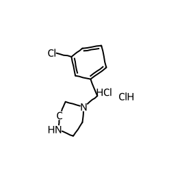 Cl.Cl.Clc1cccc(CN2CCNCC2)c1